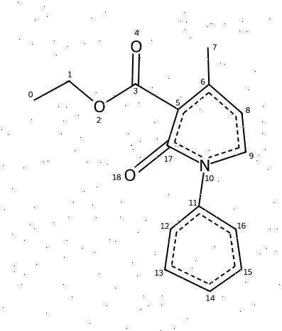 CCOC(=O)c1c(C)ccn(-c2ccccc2)c1=O